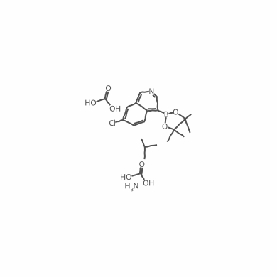 CC(C)C.CC1(C)OB(c2cncc3cc(Cl)ccc23)OC1(C)C.N.O=C(O)O.O=C(O)O